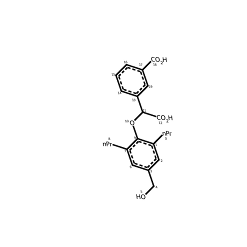 CCCc1cc(CO)cc(CCC)c1OC(C(=O)O)c1cccc(C(=O)O)c1